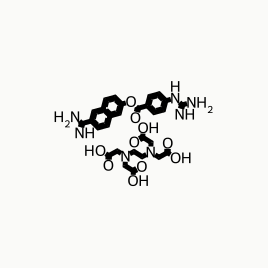 N=C(N)Nc1ccc(C(=O)Oc2ccc3cc(C(=N)N)ccc3c2)cc1.O=C(O)CN(CCN(CC(=O)O)CC(=O)O)CC(=O)O